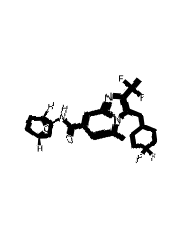 Cc1cc(C(=O)N[C@H]2C[C@@H]3CC[C@H]2O3)cc2nc(C(C)(F)F)c(CC3CCC(F)(F)CC3)n12